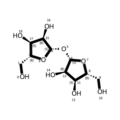 OC[C@H]1O[C@@H](O[C@@H]2O[C@H](CO)[C@@H](O)[C@H]2O)[C@H](O)[C@@H]1O